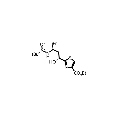 CCOC(=O)c1csc([C@H](O)C[C@@H](N[S@@+]([O-])C(C)(C)C)C(C)C)n1